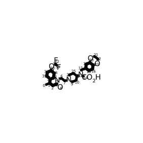 Cc1cc(=O)n(CCN2CCC(N(Cc3ccc4c(c3)OCCO4)C(=O)O)CC2)c2cc(OC(F)F)ccc12